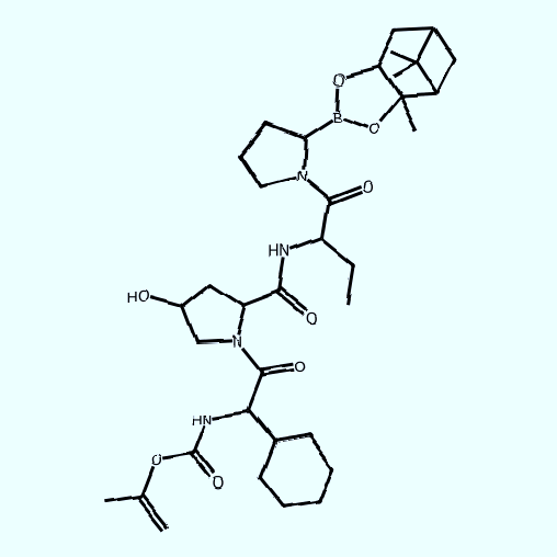 C=C(C)OC(=O)NC(C(=O)N1CC(O)CC1C(=O)NC(CC)C(=O)N1CCCC1B1OC2CC3CC(C3(C)C)C2(C)O1)C1CCCCC1